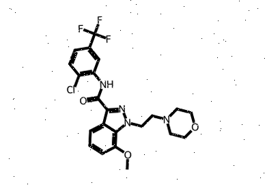 COc1cccc2c(C(=O)Nc3cc(C(F)(F)F)ccc3Cl)nn(CCN3CCOCC3)c12